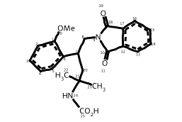 COc1ccccc1C(CN1C(=O)c2ccccc2C1=O)CC(C)(C)NC(=O)O